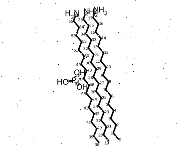 CCCCCCCCCCCCCCCCCCN.CCCCCCCCCCCCCCCCCCN.CCCCCCCCCCCCCCCCCCN.OP(O)O